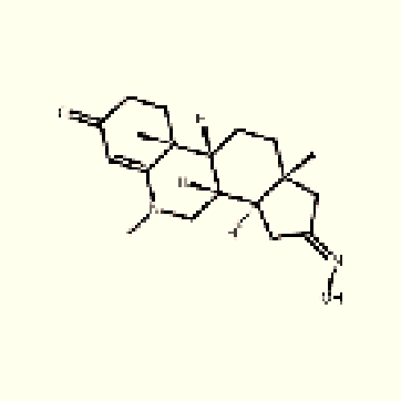 CN1C[C@@H]2[C@@H](CC[C@]3(C)CC(=NO)C[C@@H]23)[C@@]2(C)CCC(=O)C=C12